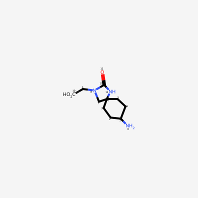 NC1CCC2(CC1)CN(CC(=O)O)C(=O)N2